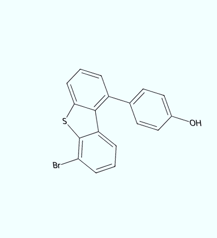 Oc1ccc(-c2cccc3sc4c(Br)cccc4c23)cc1